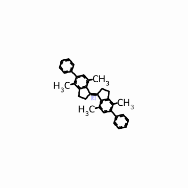 Cc1cc(-c2ccccc2)c(C)c2c1/C(=C1\CCc3c(C)c(-c4ccccc4)cc(C)c31)CC2